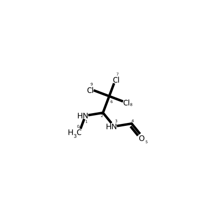 CNC(NC=O)C(Cl)(Cl)Cl